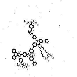 CCCCCCCCC1(CCCCCCCC)c2cc(-c3ccccc3)ccc2N(c2ccc(-c3nnc(-c4ccc(C(C)(C)C)cc4)o3)cc2)c2ccc(-c3ccc4c(c3)Oc3cc(-c5ccccc5)ccc3N4c3ccc(-c4nc5c6ccccc6c6ccccc6c5n4-c4ccc(C(C)(C)C)cc4)cc3)cc21